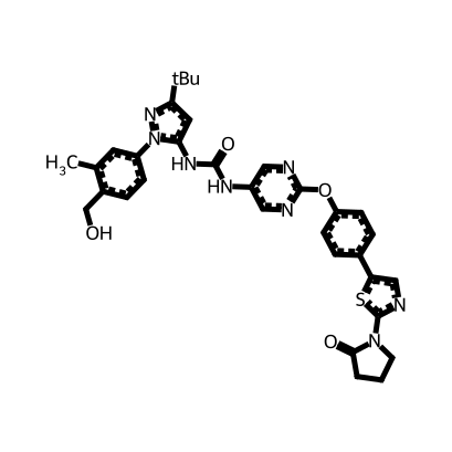 Cc1cc(-n2nc(C(C)(C)C)cc2NC(=O)Nc2cnc(Oc3ccc(-c4cnc(N5CCCC5=O)s4)cc3)nc2)ccc1CO